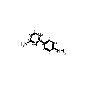 Nc1ccc(-c2ncnc(N)n2)cc1